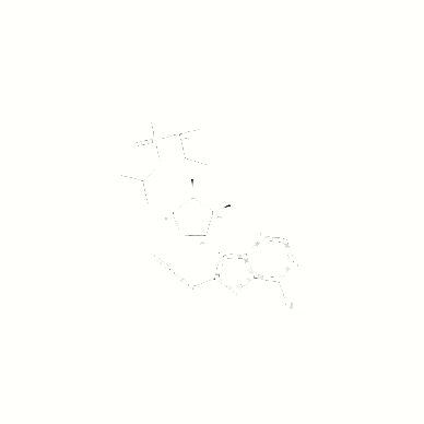 CC[C@](C)(O)P(=O)(O)OC(C)C[C@H]1O[C@@H](n2c(N=[N+]=[N-])nc3c(N)ncnc32)[C@H](O)[C@@H]1O